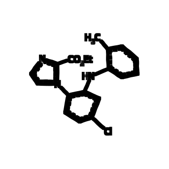 CCOC(=O)c1nccn1-c1ccc(Cl)cc1Nc1ccccc1C